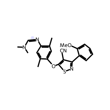 COc1ccccc1-c1nsc(Oc2cc(C)c(/N=C\N(C)C)cc2C)c1C#N